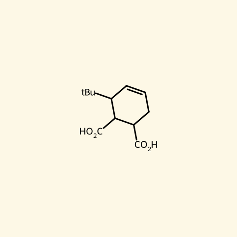 CC(C)(C)C1C=CCC(C(=O)O)C1C(=O)O